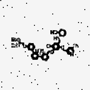 CCOC(COc1cccc(-c2cccc(-c3cccc(COc4cc(OCc5cncc(C#N)c5)c(CN[C@H]5CCCC[C@@H]5O)cc4Cl)c3C)c2C)c1)OCC